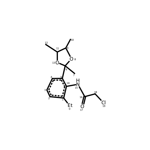 CCc1cccc(C2(C)OC(C)C(C)O2)c1NC(=O)CCl